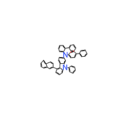 c1ccc(-c2ccc(N(c3ccc4c5c(-c6ccc7ccccc7c6)cccc5n(-c5ccccc5)c4c3)c3ccccc3-c3ccccc3)cc2)cc1